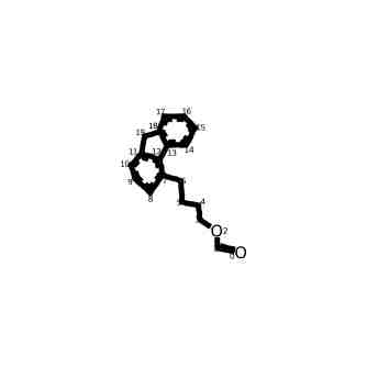 O=[C]OCCCCc1cccc2c1-c1ccccc1C2